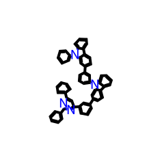 c1ccc(-c2cc(-c3cccc(-c4ccc5c6ccccc6n(-c6cccc(-c7ccc8c9ccccc9n(-c9ccccc9)c8c7)c6)c5c4)c3)nc(-c3ccccc3)n2)cc1